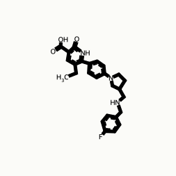 CCc1cc(C(=O)O)c(=O)[nH]c1-c1ccc(N2CCC(CNCc3ccc(F)cc3)C2)cc1